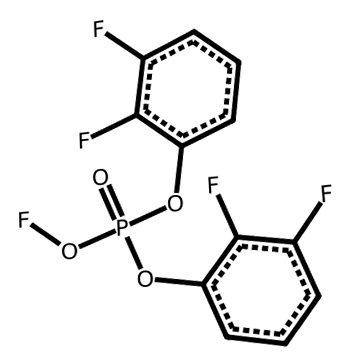 O=P(OF)(Oc1cccc(F)c1F)Oc1cccc(F)c1F